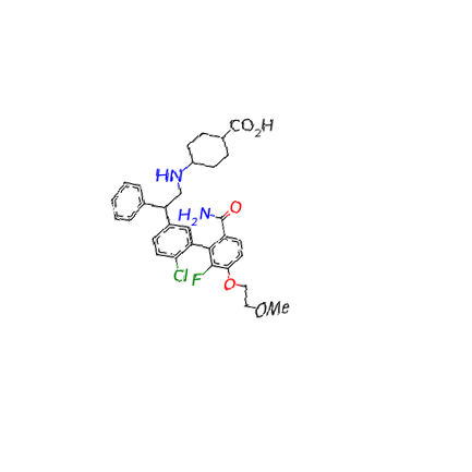 COCCOc1ccc(C(N)=O)c(-c2cc(C(CNC3CCC(C(=O)O)CC3)c3ccccc3)ccc2Cl)c1F